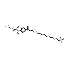 CCOC(=O)C(Br)C(Br)c1ccc(NCCCCCCCCCCCCCCCC(F)(F)F)cc1